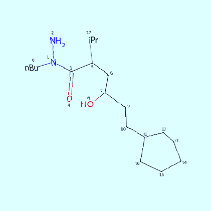 CCCCN(N)C(=O)C(CC(O)CCC1CCCCC1)C(C)C